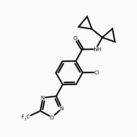 O=C(NC1(C2CC2)CC1)c1ccc(-c2noc(C(F)(F)F)n2)cc1Cl